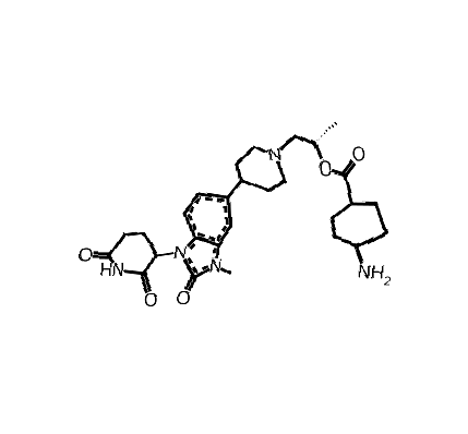 C[C@@H](CN1CCC(c2ccc3c(c2)n(C)c(=O)n3C2CCC(=O)NC2=O)CC1)OC(=O)C1CCC(N)CC1